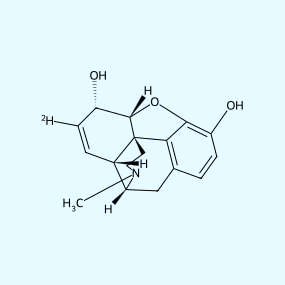 [2H]C1=C[C@H]2[C@H]3Cc4ccc(O)c5c4[C@@]2(CCN3C)[C@@H](O5)[C@H]1O